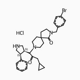 Cl.O=C(CC1CC1)C([C@@H]1CNC[C@@H]1c1ccccc1)N1CCC2(CCN(Cc3ccc(Br)cc3)C2=O)CC1